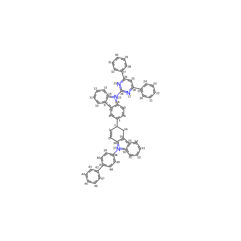 C1=CC(c2ccc3c(c2)c2ccccc2n3-c2nc(-c3ccccc3)cc(-c3ccccc3)n2)Cc2c1n(-c1ccc(-c3ccccc3)cc1)c1ccccc21